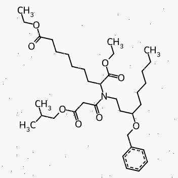 CCCCCCC(CCN(C(=O)CC(=O)OCC(C)C)C(CCCCCCC(=O)OCC)C(=O)OCC)OCc1ccccc1